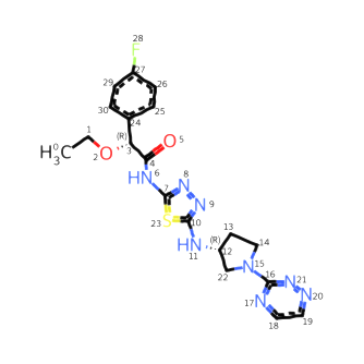 CCO[C@@H](C(=O)Nc1nnc(N[C@@H]2CCN(c3nccnn3)C2)s1)c1ccc(F)cc1